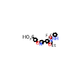 CCC1CN(C(=O)Nc2ccccc2C(F)(F)F)c2ccc(-c3ccc(OC4CCC(C(=O)O)CC4)nc3)cc2O1